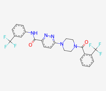 O=C(Nc1cccc(C(F)(F)F)c1)c1ccc(N2CCN(C(=O)c3ccccc3C(F)(F)F)CC2)nn1